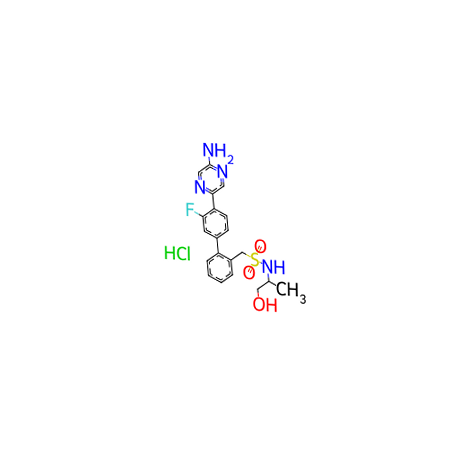 CC(CO)NS(=O)(=O)Cc1ccccc1-c1ccc(-c2cnc(N)cn2)c(F)c1.Cl